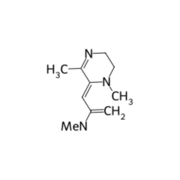 C=C(/C=C1/C(C)=NCCN1C)NC